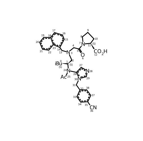 CC[C@H](C)[C@@H](CN(CC(=O)N1CCC[C@H]1C(=O)O)Cc1cccc2ccccc12)N(C(C)=O)c1cncn1Cc1ccc(C#N)cc1